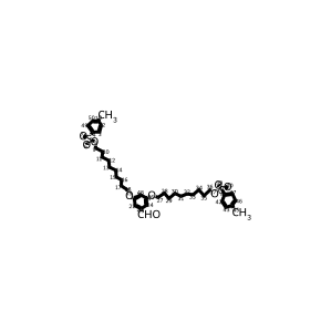 Cc1ccc(S(=O)(=O)OCCCCCCCCCCOc2cc(C=O)cc(OCCCCCCCCCCOS(=O)(=O)c3ccc(C)cc3)c2)cc1